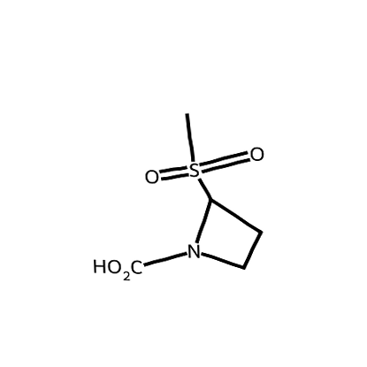 CS(=O)(=O)C1CCN1C(=O)O